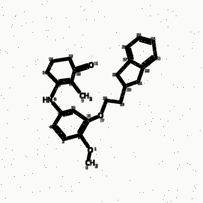 COc1ccc(NC2=C(C)C(=O)CCC2)cc1OCCC1Cc2ccccc2C1